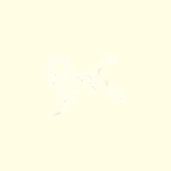 C=C.CC1CCCCC1C(C)c1ccc(C=O)cc1.CCOC(C)OCC